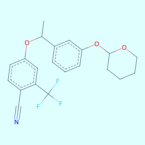 CC(Oc1ccc(C#N)c(C(F)(F)F)c1)c1cccc(OC2CCCCO2)c1